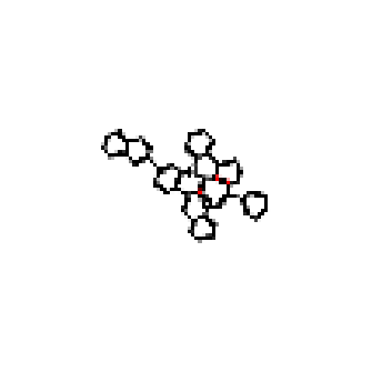 C1=CC(N(c2ccccc2-c2ccccc2)c2cc(-c3ccc4ccccc4c3)ccc2-c2ccc3ccccc3c2)=CCC=C1c1ccccc1